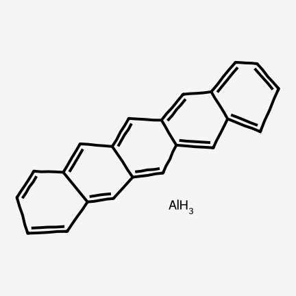 [AlH3].c1ccc2cc3cc4cc5ccccc5cc4cc3cc2c1